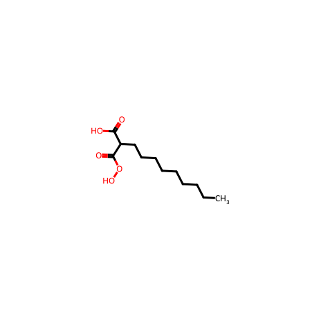 CCCCCCCCCC(C(=O)O)C(=O)OO